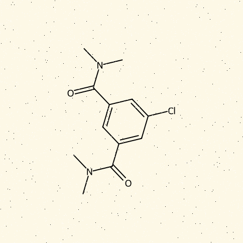 CN(C)C(=O)c1cc(Cl)cc(C(=O)N(C)C)c1